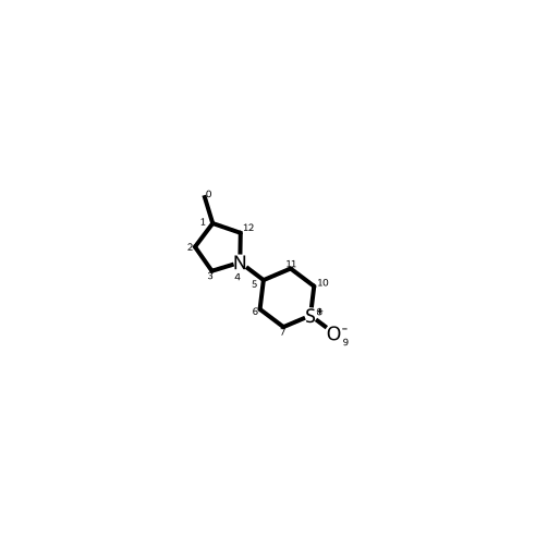 CC1CCN(C2CC[S+]([O-])CC2)C1